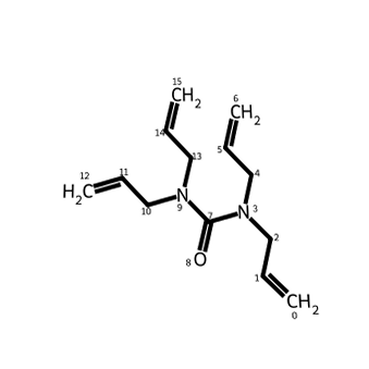 C=CCN(CC=C)C(=O)N(CC=C)CC=C